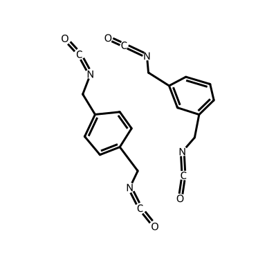 O=C=NCc1ccc(CN=C=O)cc1.O=C=NCc1cccc(CN=C=O)c1